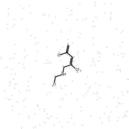 C=C(Cl)/C=C(\CNCCl)C(F)(F)F